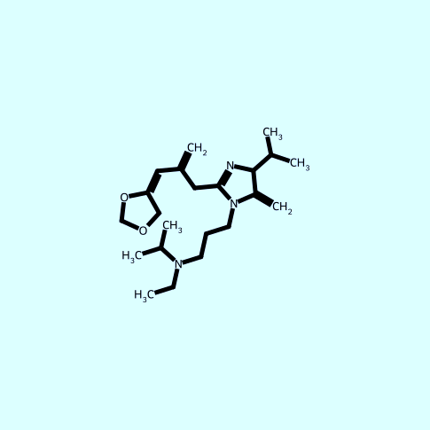 C=C(/C=C1\COCO1)CC1=NC(C(C)C)C(=C)N1CCCN(CC)C(C)C